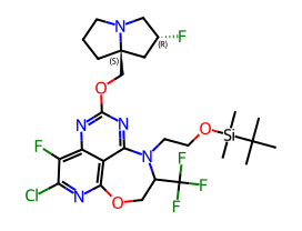 CC(C)(C)[Si](C)(C)OCCN1c2nc(OC[C@@]34CCCN3C[C@H](F)C4)nc3c(F)c(Cl)nc(c23)OCC1C(F)(F)F